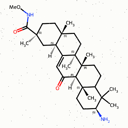 CONC(=O)[C@@]1(C)CC[C@]2(C)CC[C@]3(C)C(=CC(=O)[C@@H]4[C@@]5(C)CC[C@H](N)C(C)(C)C5CC[C@]43C)[C@H]2C1